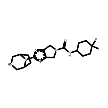 O=C(NC1CCC(F)(F)CC1)N1Cc2nc(N3C4CCC3CNC4)sc2C1